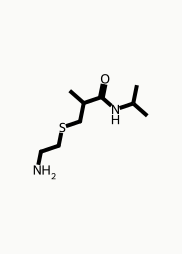 CC(C)NC(=O)C(C)CSCCN